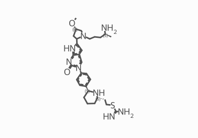 CO[C@@H]1CC(c2cc3cn(-c4ccc([C@@H]5CCC[C@@H](CCSC(=N)N)N5)cc4)c(=O)nc3[nH]2)N(CCC[C@H](C)N)C1